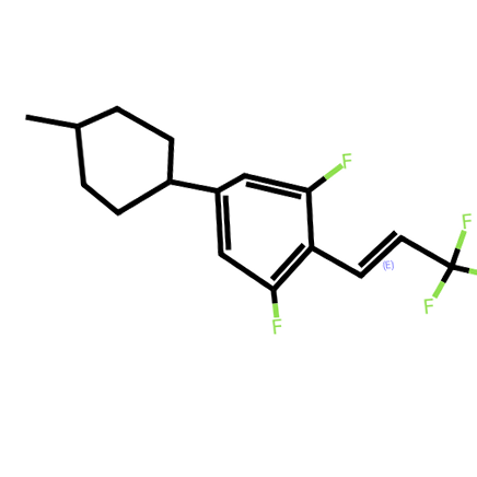 CC1CCC(c2cc(F)c(/C=C/C(F)(F)F)c(F)c2)CC1